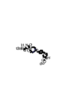 CC1/C=C\C(OCc2ccc(CN3CCC(NC(=O)OC(C)(C)C)CC3)cc2)=C/CCN([C@@H](CCC(=O)OC(C)(C)C)C(N)=O)C1=O